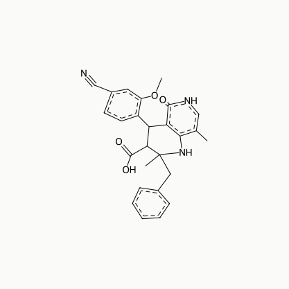 COc1cc(C#N)ccc1C1c2c(c(C)c[nH]c2=O)NC(C)(Cc2ccccc2)C1C(=O)O